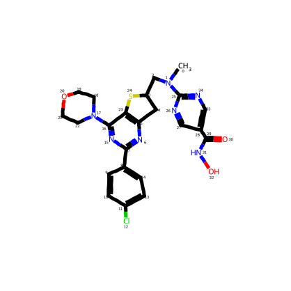 CN(CC1Cc2nc(-c3ccc(Cl)cc3)nc(N3CCOCC3)c2S1)c1ncc(C(=O)NO)cn1